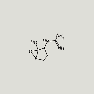 N=C(N)NC1CCP2OC12O